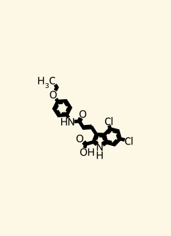 CCOc1ccc(NC(=O)C=Cc2c(C(=O)O)[nH]c3cc(Cl)cc(Cl)c23)cc1